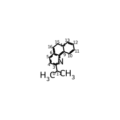 CC(C)c1ccc2c(n1)=C1C=CC=CC1CC=2